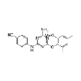 COc1cc(C)cc(C)c1Oc1nc(N)nc(Nc2ccc(C#N)cc2)n1